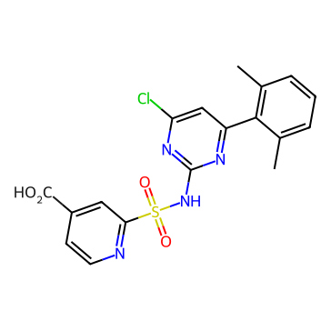 Cc1cccc(C)c1-c1cc(Cl)nc(NS(=O)(=O)c2cc(C(=O)O)ccn2)n1